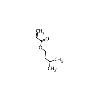 [CH2]C(C)CCOC(=O)C=C